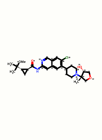 COC(C)(C)[C@H]1C[C@@H]1C(=O)Nc1cc2cc(C3CCN([C@@]4(C)COC[C@H]4O)CC3)c(Cl)cc2cn1